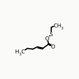 CCCC=CC(=O)OSCC